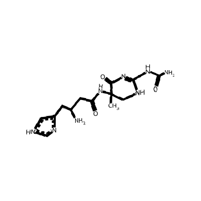 CC1(NC(=O)CC(N)Cc2c[nH]cn2)CNC(NC(N)=O)=NC1=O